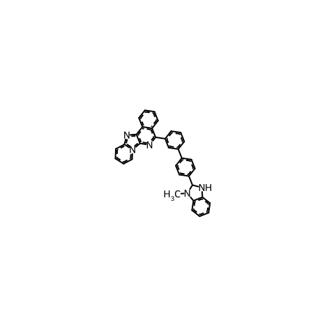 CN1c2ccccc2NC1c1ccc(-c2cccc(-c3nc4c(nc5ccccn54)c4ccccc34)c2)cc1